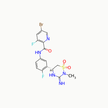 CN1C(=N)N[C@H](c2cc(NC(=O)c3ncc(Br)cc3F)ccc2F)CS1(=O)=O